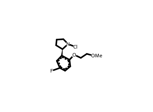 COCCOc1ccc(F)cc1[C@H]1CCCN1Cl